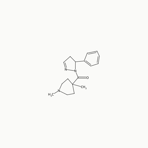 CN1CCC(C)(C(=O)N2N=CCC2c2ccccc2)CC1